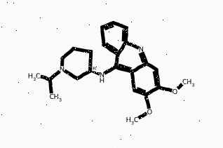 COc1cc2nc3ccccc3c(N[C@@H]3CCCN(C(C)C)C3)c2cc1OC